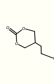 O=C1OCC(CCI)CO1